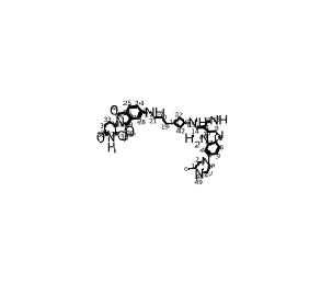 CC1CN(c2ccc(/N=C\C/C(C=N)=C/N[C@H]3C[C@H](CCCNc4ccc5c(c4)C(=O)N(C4CCC(=O)NC4=O)C5=O)C3)c(N)c2)CCN1C